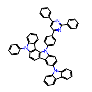 c1ccc(-c2cc(-c3ccc(-n4c5ccc(-n6c7ccccc7c7ccccc76)cc5c5ccc6c(c7ccccc7n6-c6ccccc6)c54)cc3)nc(-c3ccccc3)n2)cc1